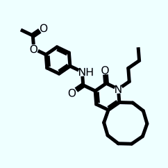 CCCCn1c2c(cc(C(=O)Nc3ccc(OC(C)=O)cc3)c1=O)CCCCCCCC2